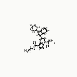 CCOC(=O)c1cnn2c(NC)cc(-c3cn(C4CCCOC4)c4ncccc34)nc12